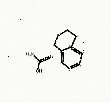 NC(=O)O.c1ccc2c(c1)CCCC2